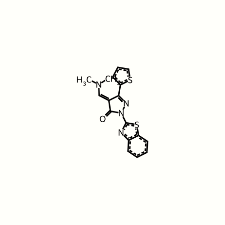 CN(C)/C=C1/C(=O)N(c2nc3ccccc3s2)N=C1c1cccs1